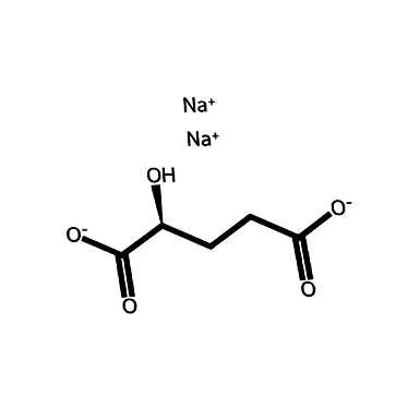 O=C([O-])CC[C@H](O)C(=O)[O-].[Na+].[Na+]